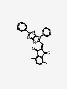 Cc1ccc(C)c2c1C(=O)C(=Cc1nc3oc(-c4ccccc4)nc3n1-c1ccccc1)C2=O